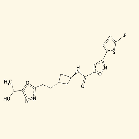 C[C@@H](O)c1nnc(CC[C@H]2C[C@H](NC(=O)c3cc(-c4ccc(F)s4)no3)C2)o1